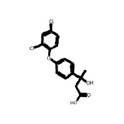 CC(O)(CC(=O)O)c1ccc(Oc2ccc(Cl)cc2Cl)cc1